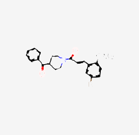 COc1ccc(Br)cc1C=CC(=O)N1CCC(C(=O)c2ccccc2)CC1